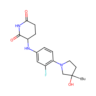 CC(C)(C)C1(O)CCN(c2ccc(NC3CCC(=O)NC3=O)cc2F)C1